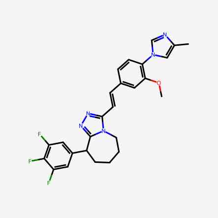 COc1cc(C=Cc2nnc3n2CCCCC3c2cc(F)c(F)c(F)c2)ccc1-n1cnc(C)c1